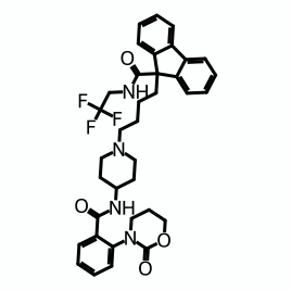 O=C(NC1CCN(CCCCC2(C(=O)NCC(F)(F)F)c3ccccc3-c3ccccc32)CC1)c1ccccc1N1CCCOC1=O